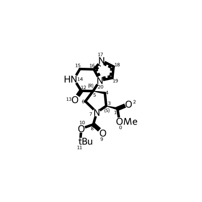 COC(=O)[C@@H]1C[C@@]2(CN1C(=O)OC(C)(C)C)C(=O)NCc1nccn12